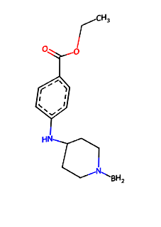 BN1CCC(Nc2ccc(C(=O)OCC)cc2)CC1